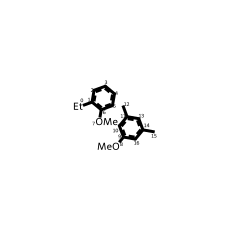 CCc1ccccc1OC.COc1cc(C)cc(C)c1